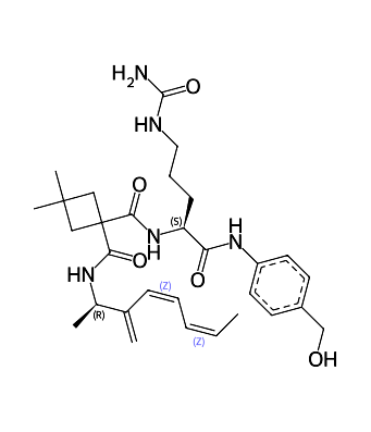 C=C(/C=C\C=C/C)[C@@H](C)NC(=O)C1(C(=O)N[C@@H](CCCNC(N)=O)C(=O)Nc2ccc(CO)cc2)CC(C)(C)C1